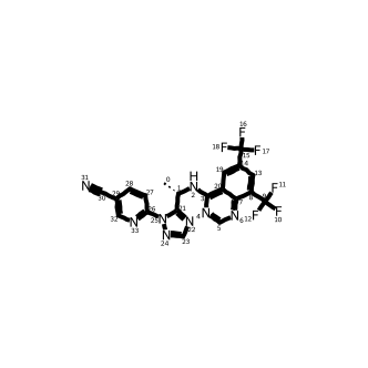 C[C@H](Nc1ncnc2c(C(F)(F)F)cc(C(F)(F)F)cc12)c1ncnn1-c1ccc(C#N)cn1